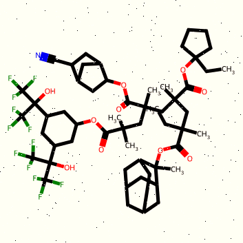 CCC1(OC(=O)C(C)(CC(C)(CC(C)(C)C(=O)OC2CC(C(O)(C(F)(F)F)C(F)(F)F)CC(C(O)(C(F)(F)F)C(F)(F)F)C2)C(=O)OC2CC3CC2CC3C#N)CC(C)(CC)C(=O)OC2(C)C3CC4CC(C3)CC2C4)CCCC1